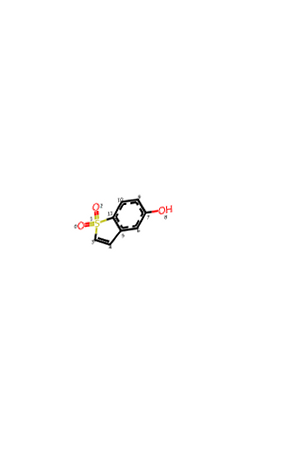 O=S1(=O)C=Cc2cc(O)ccc21